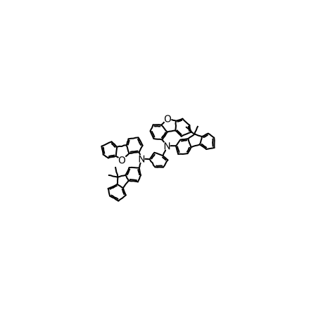 CC1(C)c2ccccc2-c2ccc(N(c3cccc(N(c4ccc5c(c4)C(C)(C)c4ccccc4-5)c4cccc5oc6ccccc6c45)c3)c3cccc4c3oc3ccccc34)cc21